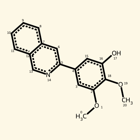 COc1cc(-c2cc3ccccc3cn2)cc(O)c1OC